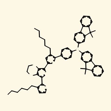 CCCCCCc1cc(-c2sc(-c3sccc3CCCCCC)c3c2OCCO3)sc1-c1ccc(N(c2ccc3c(c2)C(C)(C)c2ccccc2-3)c2ccc3c(c2)C(C)(C)c2ccccc2-3)cc1